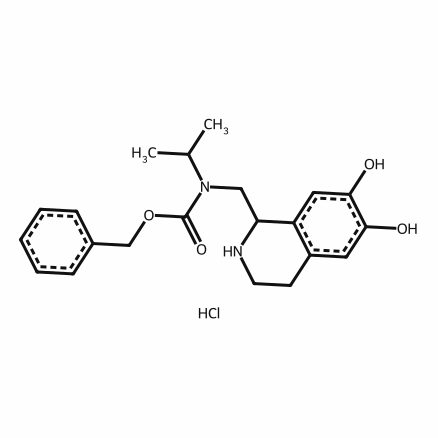 CC(C)N(CC1NCCc2cc(O)c(O)cc21)C(=O)OCc1ccccc1.Cl